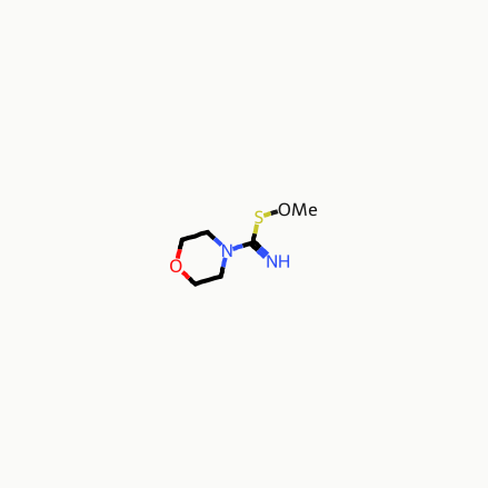 COSC(=N)N1CCOCC1